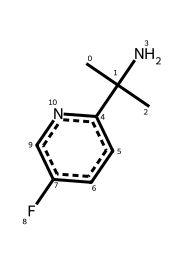 CC(C)(N)c1ccc(F)cn1